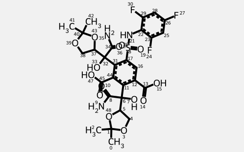 CC1(C)OCC(C(O)(C(N)=O)c2c(C(=O)O)cc(S(=O)(=O)Nc3c(F)cc(F)cc3F)c(C(O)(C(N)=O)C3COC(C)(C)O3)c2C(=O)O)O1